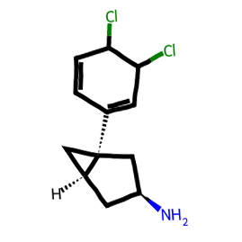 N[C@H]1C[C@H]2C[C@@]2(C2=CC(Cl)C(Cl)C=C2)C1